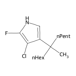 CCCCCCC(C)(CCCCC)c1c[nH]c(F)c1Cl